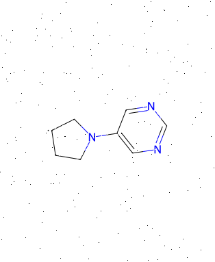 [CH]1CCN(c2cncnc2)C1